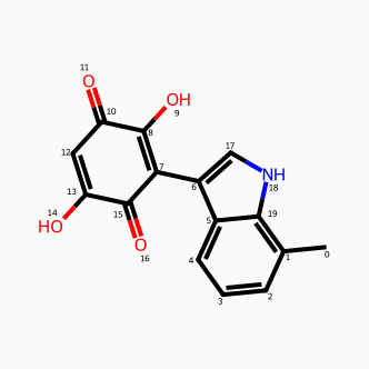 Cc1cccc2c(C3=C(O)C(=O)C=C(O)C3=O)c[nH]c12